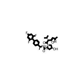 Cc1cc([C@H](C(=O)N2C[C@H](O)C[C@H]2C(=O)N[C@@H](C)c2ccc(-c3c(F)cc(F)cc3F)cc2)C(C)C)on1